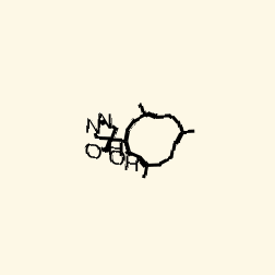 C/C1=C\CC/C(C)=C/[C@@H]2OC(=O)C3(CN=NC3)[C@H]2CC/C(C)=C/CC1